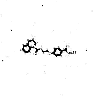 O=C(NCCOc1ccc(C(=S)NO)cc1)N1CCCc2ccccc21